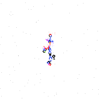 COc1nc2c(cc1Oc1cc(N3CCC4(CC3)CC(N3CCN(Cc5ccnc6c5CCO6)C[C@H]3c3ccccc3C(C)C)C4)ncc1C(=O)NS(=O)(=O)c1cc(N=O)c(NC[C@H]3CC[C@](C)(O)CC3)c3[nH]cnc13)C(F)=CC2